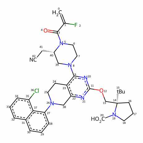 C=C(F)C(=O)N1CCN(c2nc(OC[C@@]3(C(C)(C)C)CCCN3C(=O)O)nc3c2CCN(c2cccc4cccc(Cl)c24)C3)C[C@@H]1CC#N